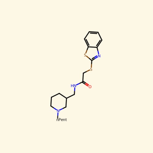 CCCCCN1CCCC(CNC(=O)CSc2nc3ccccc3s2)C1